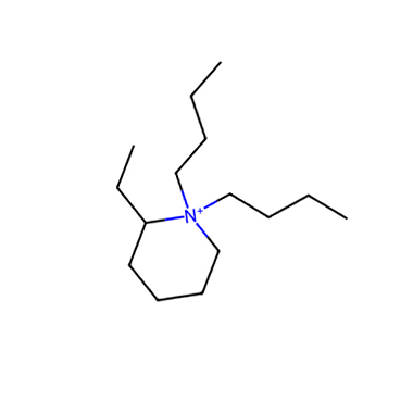 CCCC[N+]1(CCCC)CCCCC1CC